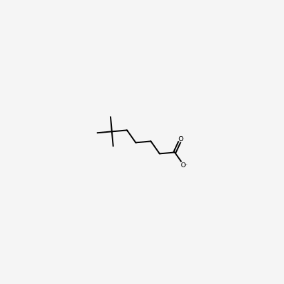 CC(C)(C)CCCCC([O])=O